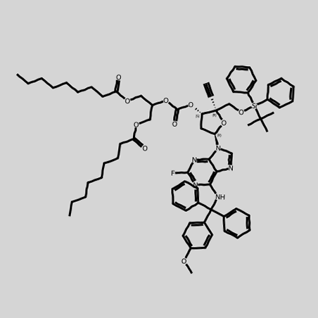 C#C[C@]1(CO[Si](c2ccccc2)(c2ccccc2)C(C)(C)C)O[C@@H](n2cnc3c(NC(c4ccccc4)(c4ccccc4)c4ccc(OC)cc4)nc(F)nc32)C[C@@H]1OC(=O)OC(COC(=O)CCCCCCCC)COC(=O)CCCCCCCC